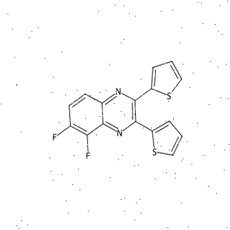 Fc1ccc2nc(-c3cccs3)c(-c3cccs3)nc2c1F